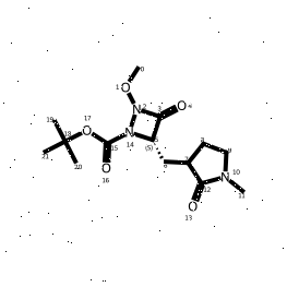 CON1C(=O)[C@H](CC2CCN(C)C2=O)N1C(=O)OC(C)(C)C